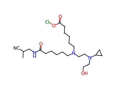 CC(C#N)CNC(=O)CCCCCN(CCCCCC(=O)OCl)CCN(CCO)C1CC1